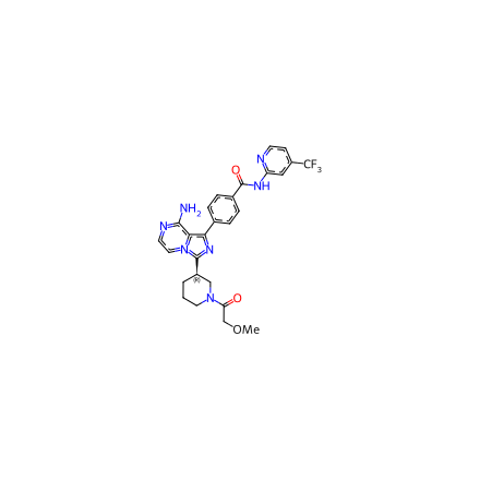 COCC(=O)N1CCC[C@@H](c2nc(-c3ccc(C(=O)Nc4cc(C(F)(F)F)ccn4)cc3)c3c(N)nccn23)C1